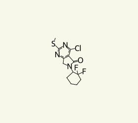 CSc1nc(Cl)c2c(n1)CN(C1CCCCC1(F)F)C2=O